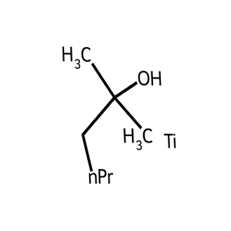 CCCCC(C)(C)O.[Ti]